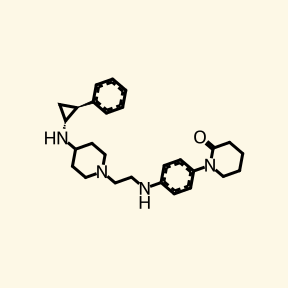 O=C1CCCCN1c1ccc(NCCN2CCC(N[C@@H]3C[C@H]3c3ccccc3)CC2)cc1